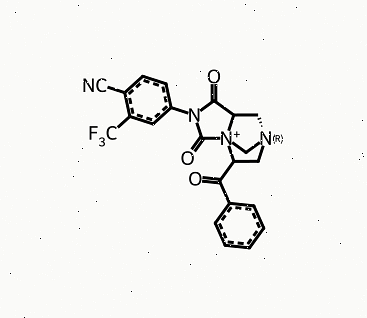 N#Cc1ccc(N2C(=O)C3C[N@]4CC(C(=O)c5ccccc5)[N+]3(C4)C2=O)cc1C(F)(F)F